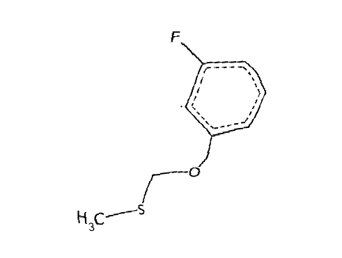 CSCOc1[c]c(F)ccc1